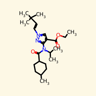 CCOC(=O)c1cn(C=CC(C)(C)C)nc1N(C(=O)C1CCC(C)CC1)C(C)C